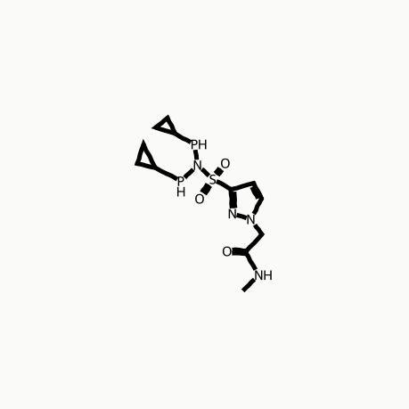 CNC(=O)Cn1ccc(S(=O)(=O)N(PC2CC2)PC2CC2)n1